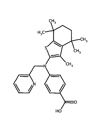 Cc1c(N(Cc2ccccn2)c2ccc(C(=O)O)cc2)sc2c1C(C)(C)CCC2(C)C